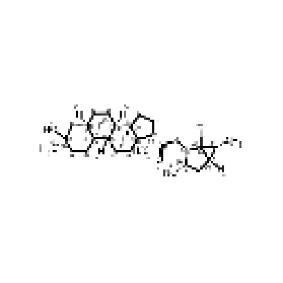 C[C@@H]1[C@@H]2C[C@H](C#N)N(CC(=O)[C@H]3CC[C@H]4[C@@H]5CC[C@@H]6C[C@](C)(O)CC[C@]6(F)[C@H]5CC[C@]34C)[C@H]12